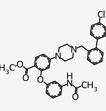 COC(=O)c1ccc(N2CCN(Cc3ccccc3-c3ccc(Cl)cc3)CC2)cc1Oc1cccc(NC(C)=O)c1